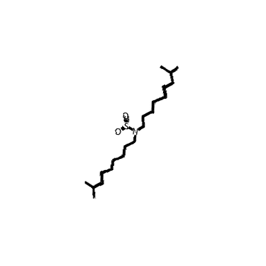 CC(C)CCCCCCCN(CCCCCCCC(C)C)[SH](=O)=O